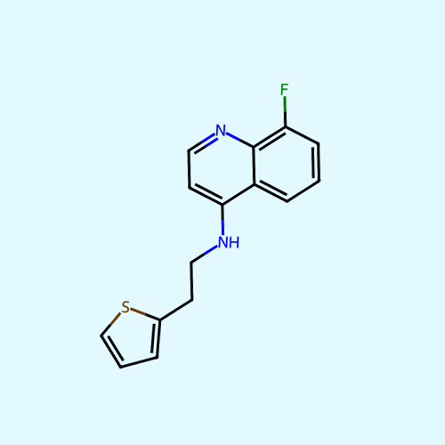 Fc1cccc2c(NCCc3cccs3)ccnc12